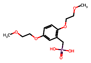 COCCOc1ccc(OCCOC)c(CP(=O)(O)O)c1